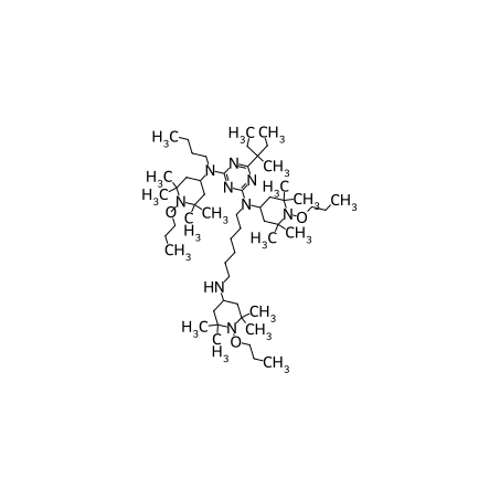 CCCCN(c1nc(N(CCCCCCNC2CC(C)(C)N(OCCC)C(C)(C)C2)C2CC(C)(C)N(OCCC)C(C)(C)C2)nc(C(C)(CC)CC)n1)C1CC(C)(C)N(OCCC)C(C)(C)C1